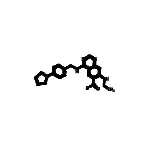 CCNc1cc2ncnc(NCc3ccc(N4CCCC4)cc3)c2cc1[N+](=O)[O-]